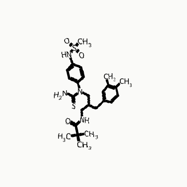 Cc1ccc(CC(CNC(=O)C(C)(C)C)CN(C(N)=S)c2ccc(NS(C)(=O)=O)cc2)cc1C